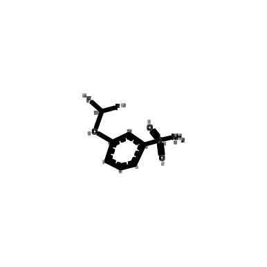 NS(=O)(=O)c1cccc(OC(F)F)c1